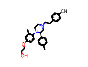 Cc1ccc([C@@H]2CN(CCc3ccc(C#N)cc3)CCN2c2ccc(OCCO)cc2C)cc1